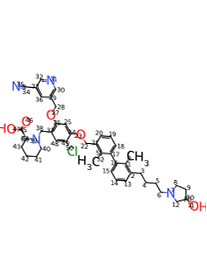 Cc1c(CCCCN2CC[C@@H](O)C2)cccc1-c1cccc(COc2cc(OCc3cncc(C#N)c3)c(CN3CCCC[C@H]3C(=O)O)cc2Cl)c1C